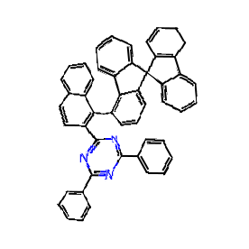 C1=CC2=C(CC1)c1ccccc1C21c2ccccc2-c2c(-c3c(-c4nc(-c5ccccc5)nc(-c5ccccc5)n4)ccc4ccccc34)cccc21